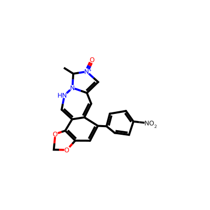 CC1N2NC=c3c4c(cc(-c5ccc([N+](=O)[O-])cc5)c3=CC2=C[N+]1=O)OCO4